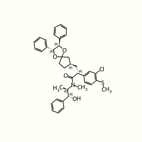 CSc1ccc([C@@H](C[C@H]2CCC3(C2)O[C@H](c2ccccc2)[C@@H](c2ccccc2)O3)C(=O)N(C)[C@H](C)[C@H](O)c2ccccc2)cc1Cl